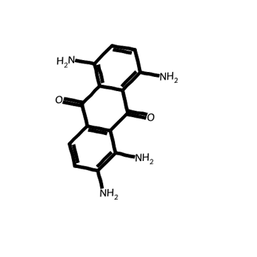 Nc1ccc2c(c1N)C(=O)c1c(N)ccc(N)c1C2=O